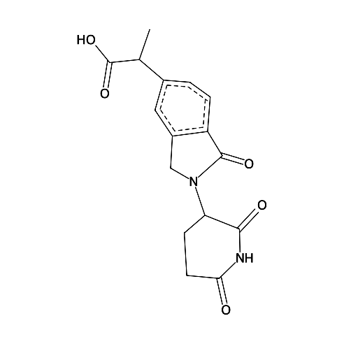 CC(C(=O)O)c1ccc2c(c1)CN(C1CCC(=O)NC1=O)C2=O